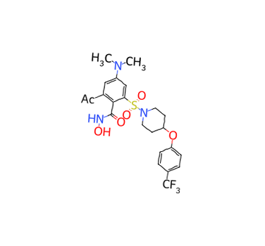 CC(=O)c1cc(N(C)C)cc(S(=O)(=O)N2CCC(Oc3ccc(C(F)(F)F)cc3)CC2)c1C(=O)NO